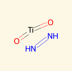 N=N.[O]=[Ti]=[O]